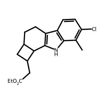 CCOC(=O)CC1CC2CCc3c([nH]c4c(C)c(Cl)ccc34)C21